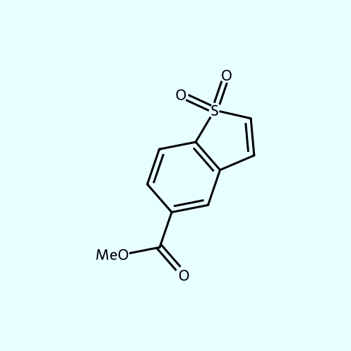 COC(=O)c1ccc2c(c1)C=CS2(=O)=O